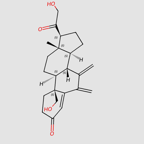 C=C1C(=C)[C@@H]2[C@H](CC[C@]3(C)[C@@H](C(=O)CO)CC[C@@H]23)[C@@]2(CO)CCC(=O)C=C12